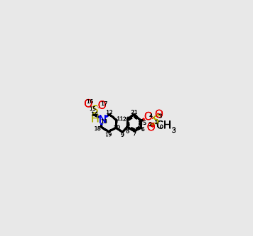 CS(=O)(=O)Oc1ccc(CC2CCN(C[SH](=O)=O)CC2)cc1